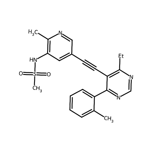 CCc1ncnc(-c2ccccc2C)c1C#Cc1cnc(C)c(NS(C)(=O)=O)c1